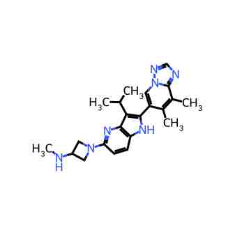 CNC1CN(c2ccc3[nH]c(-c4cn5ncnc5c(C)c4C)c(C(C)C)c3n2)C1